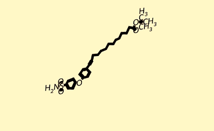 CC(C)(C)OC(=O)CCCCCCCCCCCC#Cc1ccc(Oc2ccc(S(N)(=O)=O)cc2)cc1